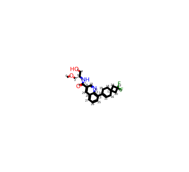 COC[C@H](CO)NC(=O)c1cnc2c(C3=CCC4(CC3)CC(F)(F)C4)cccc2c1